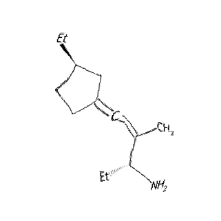 CC[C@@H]1CCC(=C=C(C)[C@H](N)CC)C1